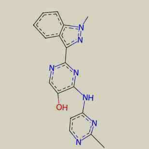 Cc1nccc(Nc2nc(-c3nn(C)c4ccccc34)ncc2O)n1